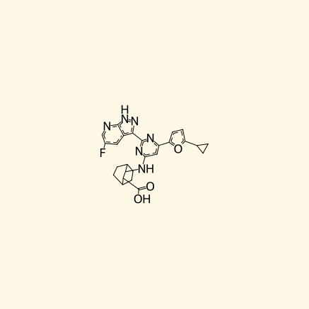 O=C(O)C1C2CCC(CC2)C1Nc1cc(-c2ccc(C3CC3)o2)nc(-c2n[nH]c3ncc(F)cc23)n1